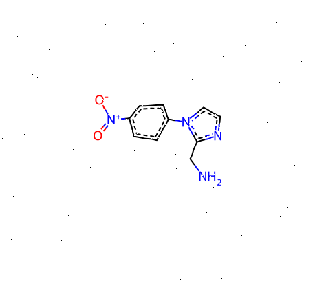 NCc1nccn1-c1ccc([N+](=O)[O-])cc1